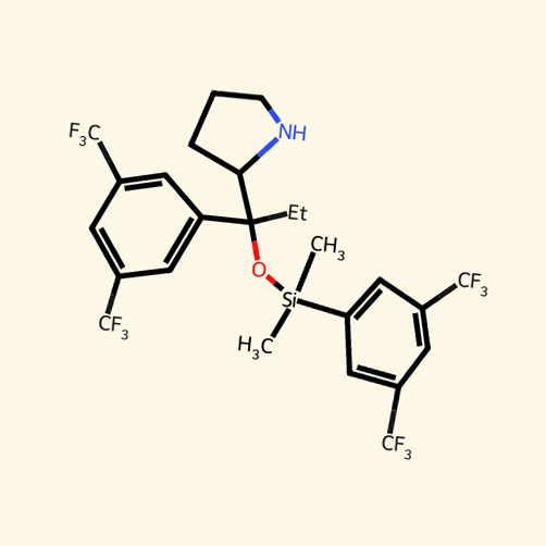 CCC(O[Si](C)(C)c1cc(C(F)(F)F)cc(C(F)(F)F)c1)(c1cc(C(F)(F)F)cc(C(F)(F)F)c1)C1CCCN1